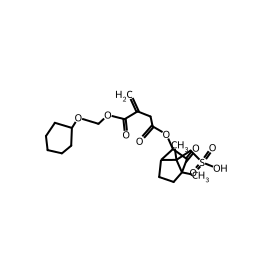 C=C(CC(=O)OC1C(=O)C2(C)CCC1C2(C)CS(=O)(=O)O)C(=O)OCOC1CCCCC1